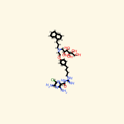 N=C(NCCCCc1ccc(OCCN(CCCc2cccc3ccccc23)CC(O)C(O)C(O)C(O)CO)cc1)NC(=O)c1nc(Cl)c(N)nc1N